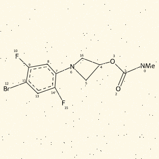 CNC(=O)OC1CN(c2cc(F)c(Br)cc2F)C1